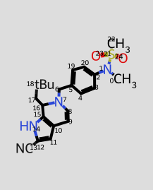 CN(c1ccc(CN2C=Cc3cc(C#N)[nH]c3C2CC(C)(C)C)cc1)S(C)(=O)=O